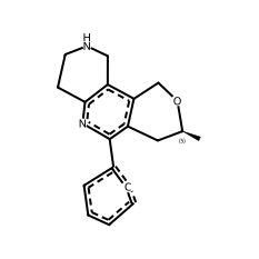 C[C@H]1Cc2c(-c3ccccc3)nc3c(c2CO1)CNCC3